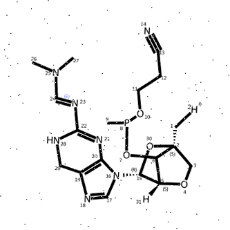 [2H]C[C@]12CO[C@@H](C1OP(C)OCCC#N)[C@H](n1cnc3c1N=C(/N=C/N(C)C)NC3)O2